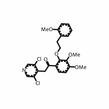 COc1ccccc1CCOc1c(C(=O)Cc2c(Cl)cncc2Cl)ccc(OC)c1OC